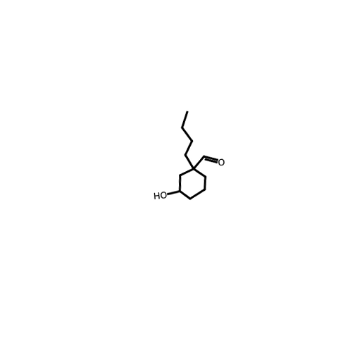 CCCCC1(C=O)CCCC(O)C1